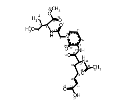 CC[C@@H](C)[C@H](NC(=O)Cn1cccc(NC(=O)C(CC/C=C/C(=O)O)NC(C)=O)c1=O)C(=O)OC